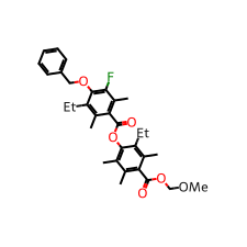 CCc1c(C)c(C(=O)OCOC)c(C)c(C)c1OC(=O)c1c(C)c(F)c(OCc2ccccc2)c(CC)c1C